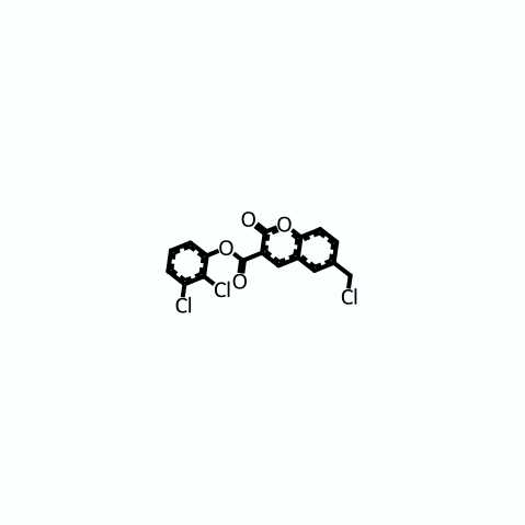 O=C(Oc1cccc(Cl)c1Cl)c1cc2cc(CCl)ccc2oc1=O